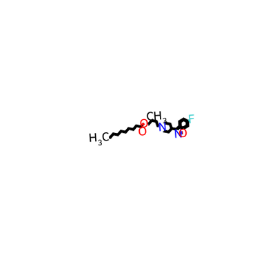 CCCCCCCCCC(=O)OCC(C)CCN1CCC(c2noc3cc(F)ccc23)CC1